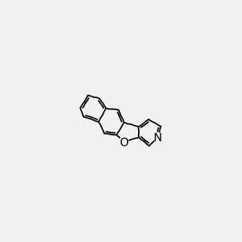 c1ccc2cc3c(cc2c1)oc1cnccc13